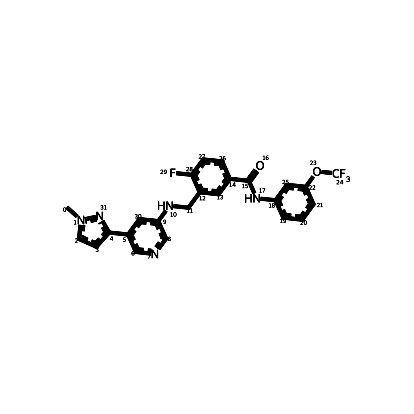 Cn1ccc(-c2cncc(NCc3cc(C(=O)Nc4cccc(OC(F)(F)F)c4)ccc3F)c2)n1